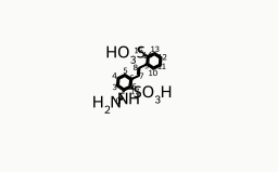 NNc1cccc(/C=C/c2ccccc2S(=O)(=O)O)c1S(=O)(=O)O